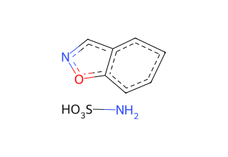 NS(=O)(=O)O.c1ccc2oncc2c1